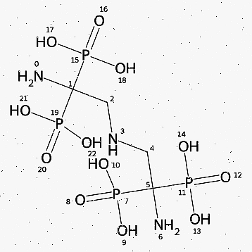 NC(CNCC(N)(P(=O)(O)O)P(=O)(O)O)(P(=O)(O)O)P(=O)(O)O